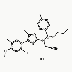 C#CCN(c1nc(-c2cc(C)c(OC)cc2Cl)c(C)s1)[C@@H](CCCC)c1ccc(F)cc1.Cl